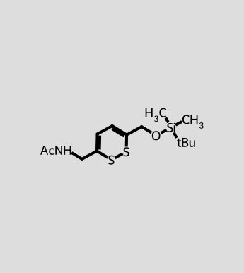 CC(=O)NCC1=CC=C(CO[Si](C)(C)C(C)(C)C)SS1